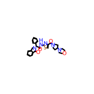 O=C(Nc1nc(C(=O)N2CCC(N3CCOCC3)CC2)cs1)C(c1ccccc1)N1Cc2ccccc2C1=O